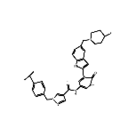 CC(C)c1ccc(Cn2cc(C(=O)Nc3c[nH]c(=O)c(-c4cc5cc(CN6CCC(F)CC6)ccc5[nH]4)c3)cn2)cc1